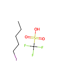 CCCCCI.O=S(=O)(O)C(F)(F)F